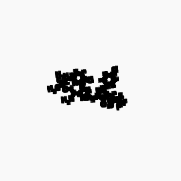 CC(C)(C)OCC(N)c1nc(Cn2nc(-c3ccc(Cl)cc3)n(C[C@H](O)C(F)(F)F)c2=O)nn1-c1ncccc1Cl